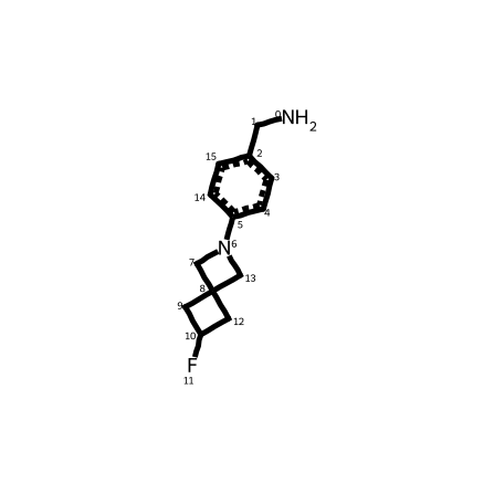 NCc1ccc(N2CC3(CC(F)C3)C2)cc1